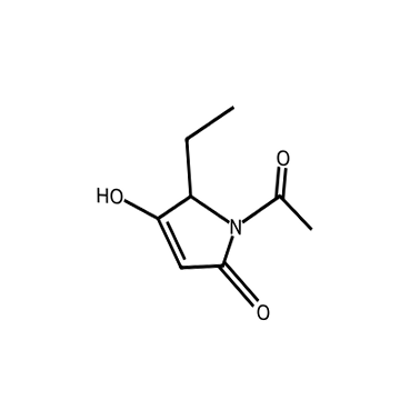 CCC1C(O)=CC(=O)N1C(C)=O